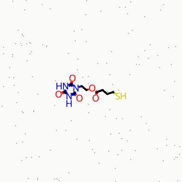 O=C(CCCS)OCCn1c(=O)[nH]c(=O)[nH]c1=O